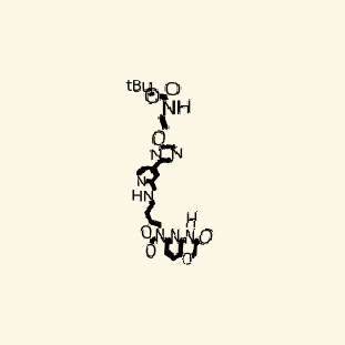 CC(C)(C)OC(=O)NCCOc1cncc(-c2ccnc(CNCCC3CN(c4ccc5c(n4)NC(=O)CO5)C(=O)O3)c2)n1